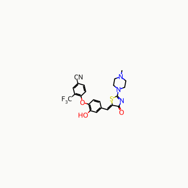 CN1CCN(C2=NC(=O)/C(=C/c3ccc(Oc4ccc(C#N)cc4C(F)(F)F)c(O)c3)S2)CC1